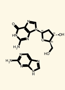 Nc1nc2c(ncn2[C@H]2C[C@H](O)[C@@H](CO)O2)c(=O)[nH]1.Nc1ncc2nc[nH]c2n1